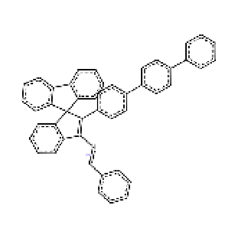 C(=N\C1=C(c2ccc(-c3ccc(-c4ccccc4)cc3)cc2)C2(c3ccccc31)c1ccccc1-c1ccccc12)/c1ccccc1